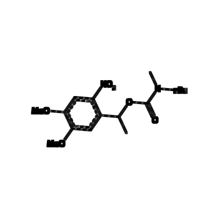 CCCCN(C)C(=O)OC(C)c1cc(OC)c(OC)cc1[N+](=O)[O-]